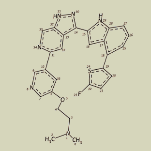 CN(C)CCOc1cncc(-c2cc3c(-c4cc5c(-c6ccc(F)s6)cccc5[nH]4)n[nH]c3cn2)c1